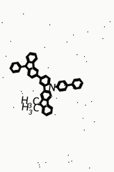 CC1(C)c2ccccc2-c2cc3c(cc21)c1cc(-c2ccc4c(c2)-c2ccccc2C4c2ccccc2)ccc1n3-c1ccc(-c2ccccc2)cc1